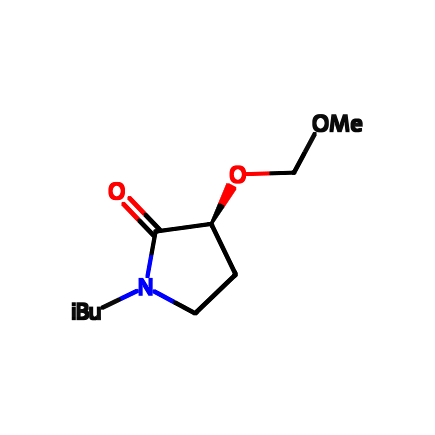 CCC(C)N1CC[C@H](OCOC)C1=O